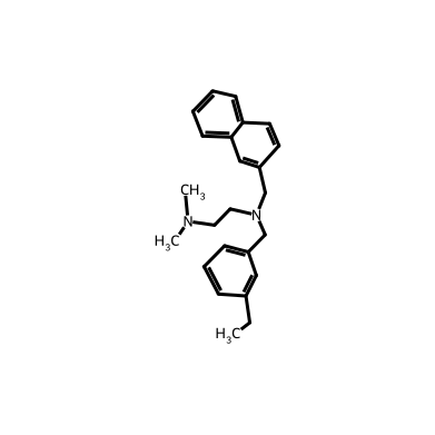 CCc1cccc(CN(CCN(C)C)Cc2ccc3ccccc3c2)c1